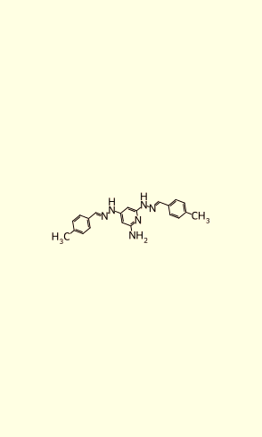 Cc1ccc(/C=N/Nc2cc(N)nc(N/N=C/c3ccc(C)cc3)c2)cc1